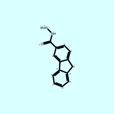 CNNC(=O)c1ccc2c(c1)-c1ccccc1C2